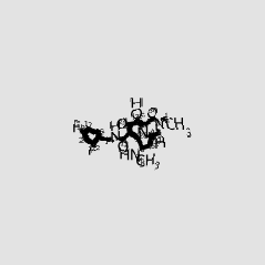 CCN1C[C@@H]2C[C@H](NC)c3c(C(=O)NCc4ccc(F)cc4F)c(=O)c(O)c(n32)C1=O